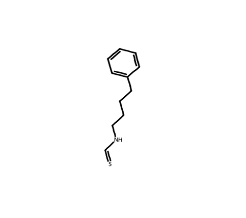 S=CNCCCCc1ccccc1